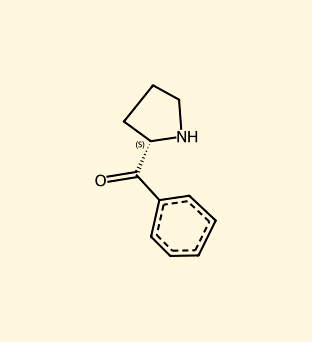 O=C(c1ccccc1)[C@@H]1CCCN1